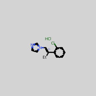 CC/C(=C\n1ccnc1)c1ccccc1Cl.Cl